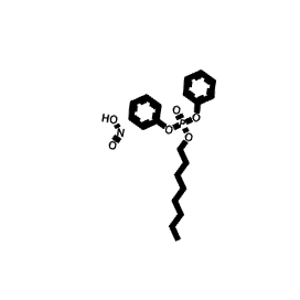 CCCCCCCCOP(=O)(Oc1ccccc1)Oc1ccccc1.O=NO